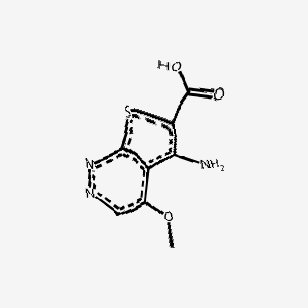 COc1cnnc2sc(C(=O)O)c(N)c12